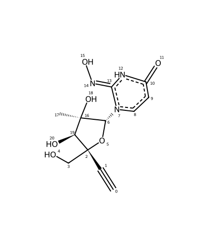 C#C[C@]1(CO)O[C@@H](n2ccc(=O)[nH]/c2=N\O)[C@](C)(O)[C@@H]1O